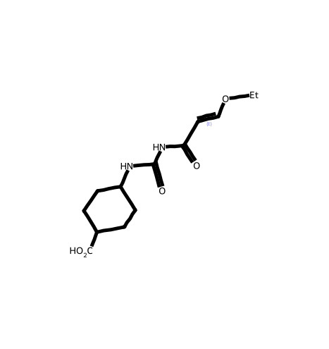 CCO/C=C/C(=O)NC(=O)NC1CCC(C(=O)O)CC1